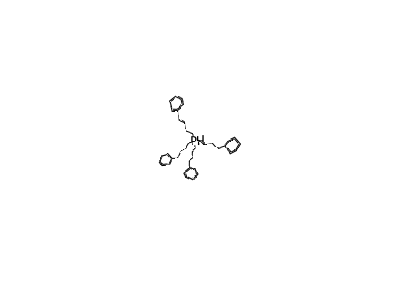 c1ccc(CCCC[PH](CCCCc2ccccc2)(CCCCc2ccccc2)CCCCc2ccccc2)cc1